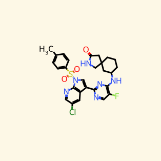 Cc1ccc(S(=O)(=O)n2cc(-c3ncc(F)c(NC4CCCC5(CNC(=O)C5)C4)n3)c3cc(Cl)cnc32)cc1